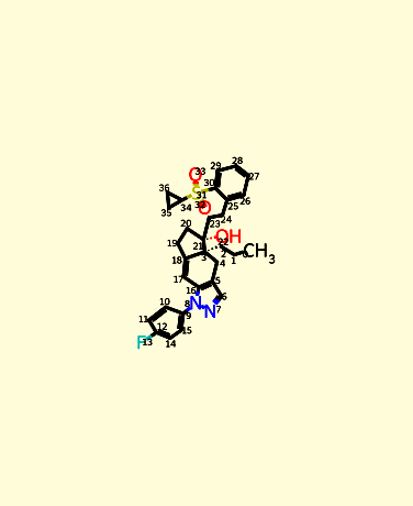 CCC[C@]12Cc3cnn(-c4ccc(F)cc4)c3C=C1CC[C@@]2(O)CCc1ccccc1S(=O)(=O)C1CC1